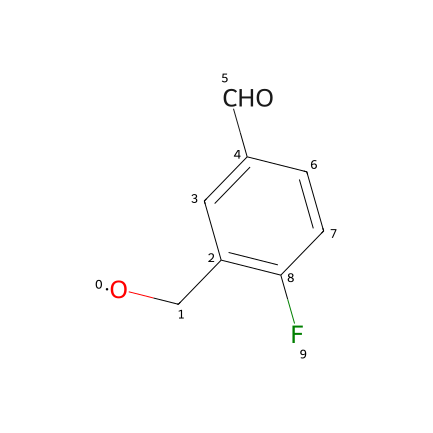 [O]Cc1cc(C=O)ccc1F